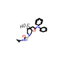 O=C(NC1CC1)SN1CCC(CC(=O)N(c2ccccc2)c2ccccc2)(C(=O)O)CC1